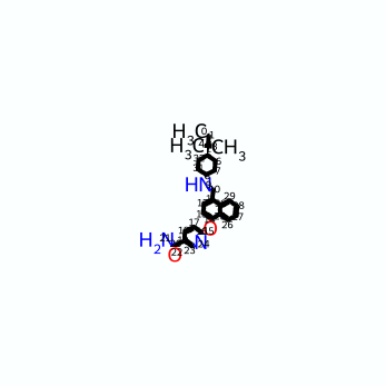 CCC(C)(C)[C@H]1CC[C@@H](NCc2ccc(Oc3ccc(C(N)=O)cn3)c3ccccc23)CC1